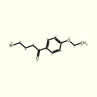 CCOc1ccc(C(=O)CCCBr)cc1